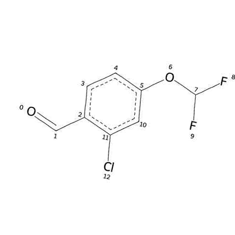 O=Cc1ccc(OC(F)F)cc1Cl